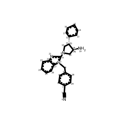 N#Cc1ccc(Cn2c(N3C[C@H](c4ccccc4)[C@@H](N)C3)nc3ccccc32)cc1